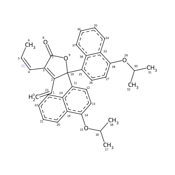 C=CC1=C(/C=C\C)C(=O)OC1(c1ccc(OC(C)C)c2ccccc12)c1ccc(OC(C)C)c2ccccc12